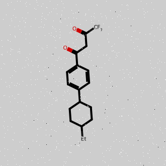 CCC1CCC(c2ccc(C(=O)CC(=O)C(F)(F)F)cc2)CC1